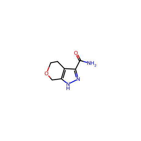 NC(=O)c1n[nH]c2c1CCOC2